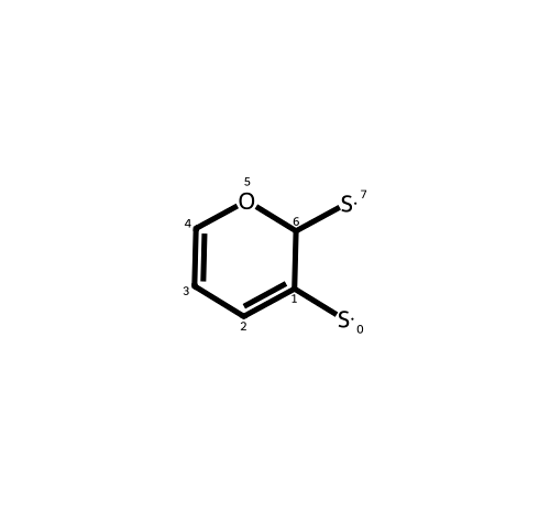 [S]C1=CC=COC1[S]